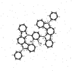 N#Cc1c(-n2c3ccccc3c3ccc4c(c5ccccc5n4-c4ccccc4)c32)ccc(-n2c3ccccc3c3ccc4c(c5ccccc5n4-c4ccccc4)c32)c1C#N